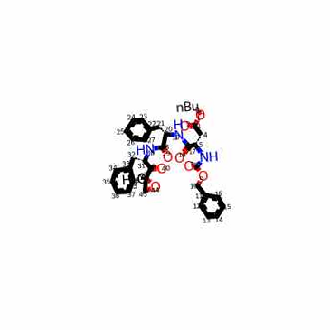 CCCCOC(=O)C[C@H](NC(=O)OCc1ccccc1)C(=O)N[C@@H](Cc1ccccc1)C(=O)N[C@@H](Cc1ccccc1)C(=O)[C@@]1(C)CO1